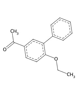 CCOc1ccc(C(C)=O)cc1-c1ccccc1